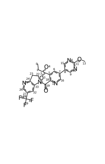 CCS(=O)(=O)c1cc(-c2cnc(OC)nc2)cnc1C(=O)N1CCc2ncc(C(F)(F)F)cc21